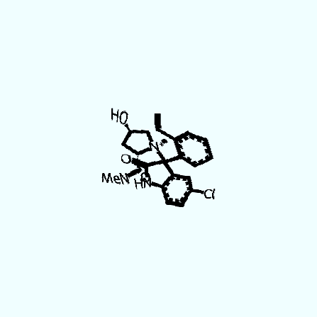 C=Cc1ccccc1C1([N+]2(C)C[C@H](O)C[C@H]2C(=O)NC)C(=O)Nc2ccc(Cl)cc21